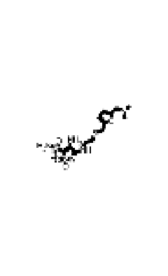 CN(C)Cc1ccc(CSCCNC2=NS(=O)(=O)C(S(N)(=O)=O)=C2N)o1